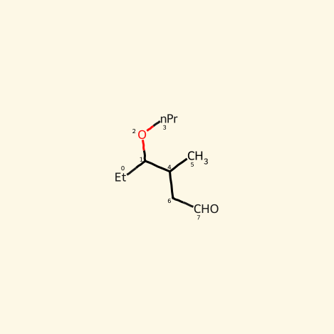 [CH2]CC(OCCC)C(C)CC=O